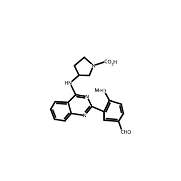 COc1ccc(C=O)cc1-c1nc(NC2CCN(C(=O)O)C2)c2ccccc2n1